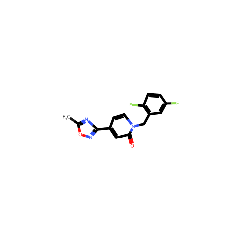 O=c1cc(-c2noc(C(F)(F)F)n2)ccn1Cc1cc(F)ccc1F